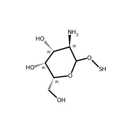 N[C@H]1C(OS)O[C@H](CO)[C@H](O)[C@@H]1O